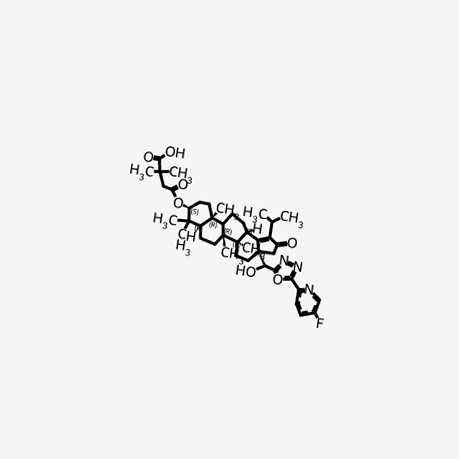 CC(C)C1=C2[C@H]3CCC4[C@@]5(C)CC[C@H](OC(=O)CC(C)(C)C(=O)O)C(C)(C)[C@@H]5CC[C@@]4(C)[C@]3(C)CC[C@@]2(C(O)c2nnc(-c3ccc(F)cn3)o2)CC1=O